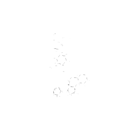 Cc1nc(-c2nnc3c4ccccc4c(OCc4ccc(C(=O)N[C@H](C)CO)cc4C#N)nn23)no1